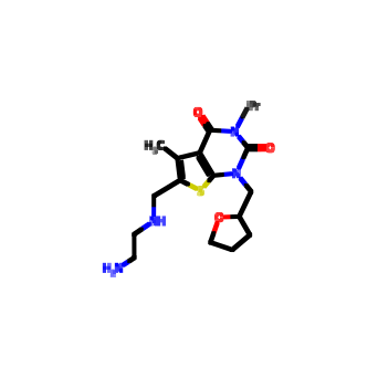 Cc1c(CNCCN)sc2c1c(=O)n(C(C)C)c(=O)n2CC1CCCO1